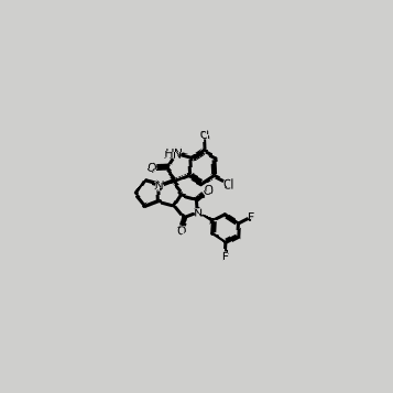 O=C1C2C3CCCN3C3(C(=O)Nc4c(Cl)cc(Cl)cc43)C2C(=O)N1c1cc(F)cc(F)c1